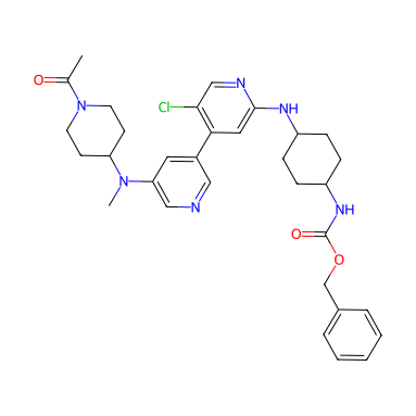 CC(=O)N1CCC(N(C)c2cncc(-c3cc(NC4CCC(NC(=O)OCc5ccccc5)CC4)ncc3Cl)c2)CC1